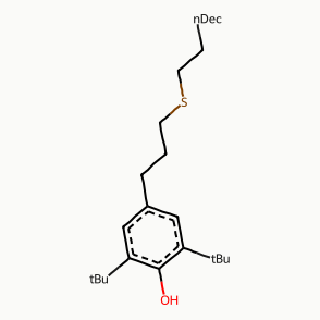 CCCCCCCCCCCCSCCCc1cc(C(C)(C)C)c(O)c(C(C)(C)C)c1